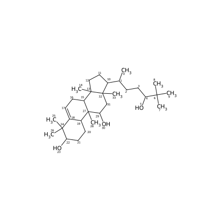 CC(CCC(O)C(C)(C)C)C1CCC2(C)C3CC=C4C(CCC(O)C4(C)C)C3(C)C(O)CC12C